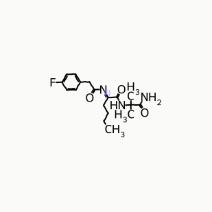 CCCC/C(=N\C(=O)Cc1ccc(F)cc1)C(=O)NC(C)(C)C(N)=O